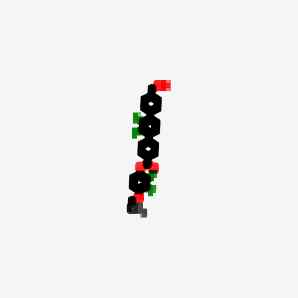 CCOc1ccc(OC(=O)C2CCC(c3ccc(C4CCC(CO)CC4)c(F)c3F)CC2)c(F)c1F